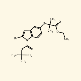 CCOC(=O)C(C)(C)Sc1ccc2c(c1)cc(Br)n2C(=O)OC(C)(C)C